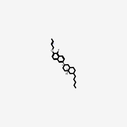 C/C=C/COc1ccc2cc([C@@H]3CC[C@@H]4CC(CCCCC)CCC4C3)ccc2c1F